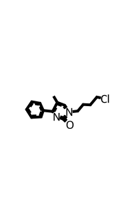 Cc1cn(CCCCCl)c(=O)nc1-c1ccccc1